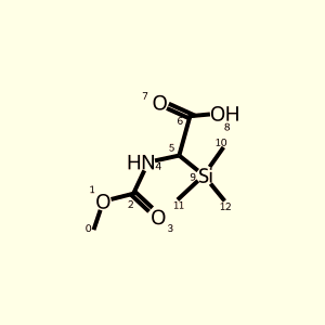 COC(=O)NC(C(=O)O)[Si](C)(C)C